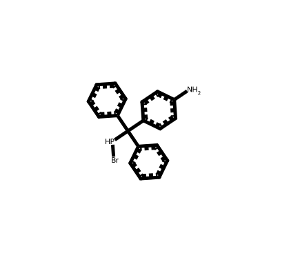 Nc1ccc(C(PBr)(c2ccccc2)c2ccccc2)cc1